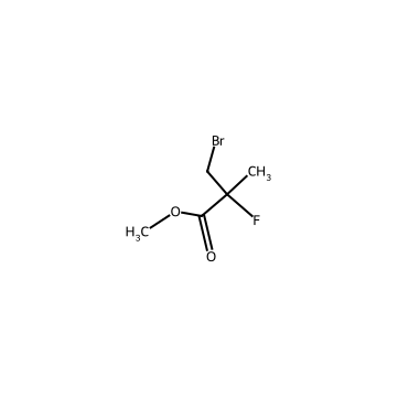 COC(=O)C(C)(F)CBr